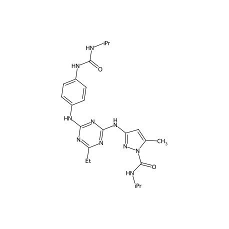 CCc1nc(Nc2ccc(NC(=O)NC(C)C)cc2)nc(Nc2cc(C)n(C(=O)NC(C)C)n2)n1